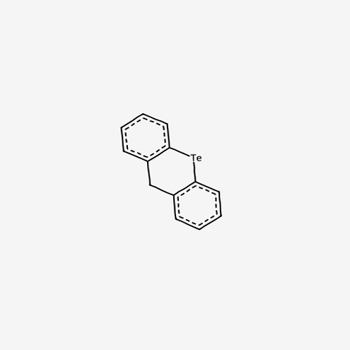 c1ccc2c(c1)Cc1ccccc1[Te]2